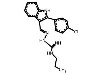 CCCNC(=N)NN=Cc1c(-c2ccc(Cl)cc2)[nH]c2ccccc12